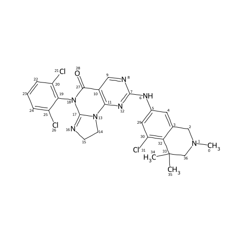 CN1Cc2cc(Nc3ncc4c(n3)N3CCN=C3N(c3c(Cl)cccc3Cl)C4=O)cc(Cl)c2C(C)(C)C1